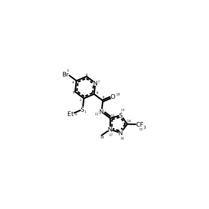 CCSc1cc(Br)cnc1C(=O)/N=c1\sc(C(F)(F)F)nn1C